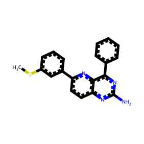 CSc1cccc(-c2ccc3nc(N)nc(-c4ccccc4)c3n2)c1